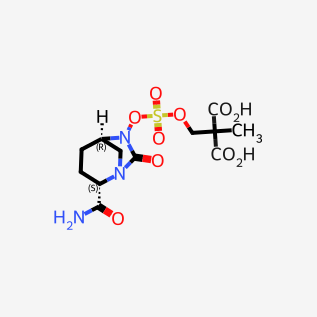 CC(COS(=O)(=O)ON1C(=O)N2C[C@H]1CC[C@H]2C(N)=O)(C(=O)O)C(=O)O